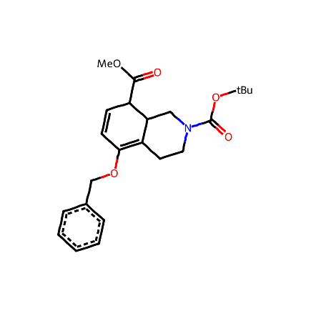 COC(=O)C1C=CC(OCc2ccccc2)=C2CCN(C(=O)OC(C)(C)C)CC21